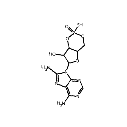 Bc1nc2c(N)ncnc2n1C1OC2COP(=O)(S)OC2C1O